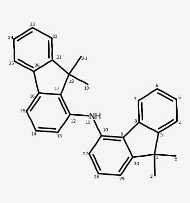 CC1(C)c2ccccc2-c2c(Nc3cccc4c3C(C)(C)c3ccccc3-4)cccc21